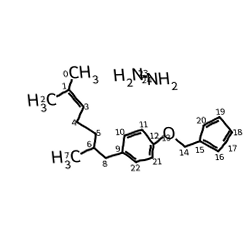 CC(C)=CCCC(C)Cc1ccc(OCc2ccccc2)cc1.NN